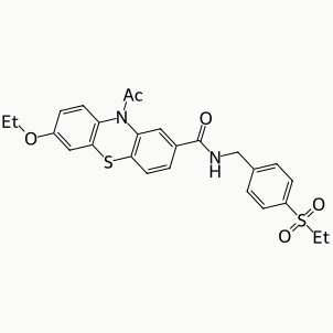 CCOc1ccc2c(c1)Sc1ccc(C(=O)NCc3ccc(S(=O)(=O)CC)cc3)cc1N2C(C)=O